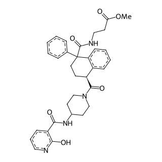 COC(=O)CCNC(=O)C1(c2ccccc2)CC[C@H](C(=O)N2CCC(NC(=O)c3cccnc3O)CC2)c2ccccc21